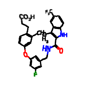 Cc1cc(Oc2cc(F)cc(CNC(=O)c3[nH]c4ccc(C(F)(F)F)cc4c3C)c2)ccc1CCC(=O)O